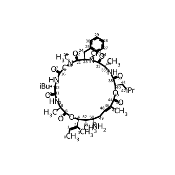 C/C=C(\C)[C@H]1OC(=O)[C@@H](C)NC(=O)[C@H](C(C)CC)NC(=O)CN(C)C(=O)[C@@H](Cc2ccccc2)N(C)C(=O)[C@H](C)NC(=O)[C@@H](CC(C)C)OC(=O)/C(C)=C/C[C@H](N)[C@@H]1C